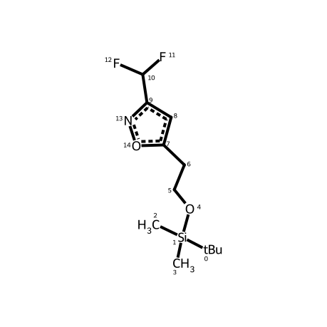 CC(C)(C)[Si](C)(C)OCCc1cc(C(F)F)no1